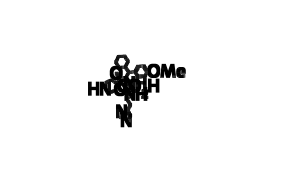 COc1ccc(C(C2CCCCC2)C(NC(=O)NCCc2cncn2C)C(=O)C2(C(=O)O)CCNCC2)cc1